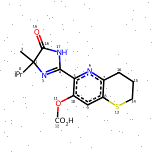 CC(C)C1(C)N=C(c2nc3c(cc2OC(=O)O)SCCC3)NC1=O